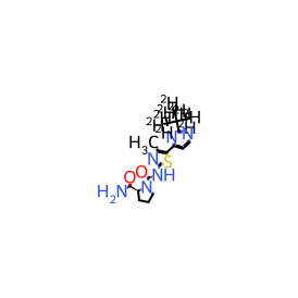 [2H]C([2H])([2H])C(c1nccc(-c2sc(NC(=O)N3CCC[C@H]3C(N)=O)nc2C)n1)(C([2H])([2H])[2H])C([2H])([2H])[2H]